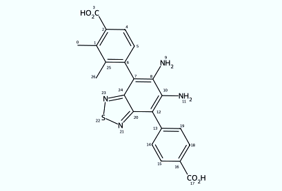 Cc1c(C(=O)O)ccc(-c2c(N)c(N)c(-c3ccc(C(=O)O)cc3)c3nsnc23)c1C